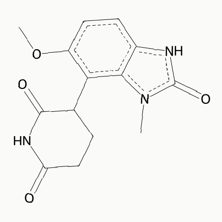 COc1ccc2[nH]c(=O)n(C)c2c1C1CCC(=O)NC1=O